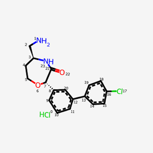 Cl.NC[C@@H]1CCO[C@@H](c2cccc(-c3ccc(Cl)cc3)c2)C(=O)N1